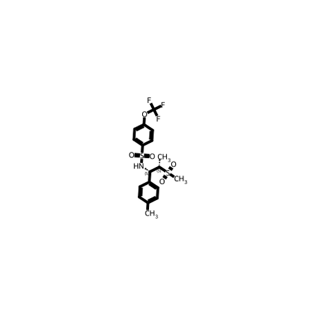 Cc1ccc([C@H](NS(=O)(=O)c2ccc(OC(F)(F)F)cc2)[C@H](C)S(C)(=O)=O)cc1